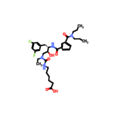 CCCN(CCC)C(=O)c1cccc(C(=O)N[C@@H](Cc2cc(F)cc(F)c2)[C@@H](O)CN(CC)C(=O)NCCCCCC(=O)O)c1